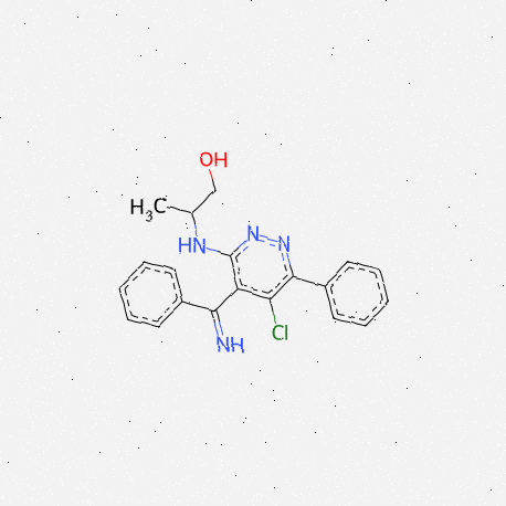 CC(CO)Nc1nnc(-c2ccccc2)c(Cl)c1C(=N)c1ccccc1